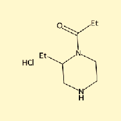 CCC(=O)N1CCNCC1CC.Cl